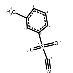 Cc1cccc(S(=O)(=O)C#N)c1